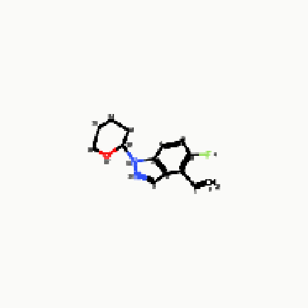 C=Cc1c(F)ccc2c1cnn2C1CCCCO1